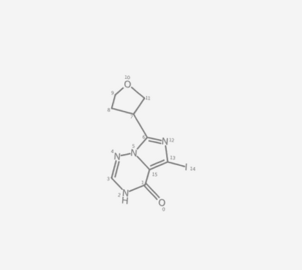 O=c1[nH]cnn2c(C3CCOC3)nc(I)c12